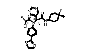 C[C@@](C(=O)NC1CCC(F)(F)CC1)(c1cncnc1)N(C(=O)[C@H](F)Cl)c1ccc(-c2nccs2)cc1